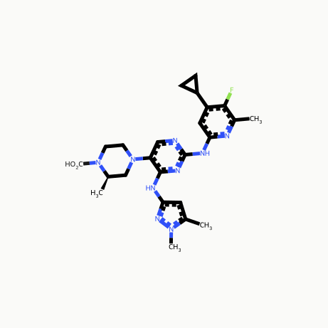 Cc1nc(Nc2ncc(N3CCN(C(=O)O)[C@H](C)C3)c(Nc3cc(C)n(C)n3)n2)cc(C2CC2)c1F